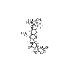 CCc1c2c(nc3ccc(O[Si](C)(C)C(C)(C)C)cc13)-c1cc3c(c(=O)n1C2)COC(=O)C3OC(=O)Cl